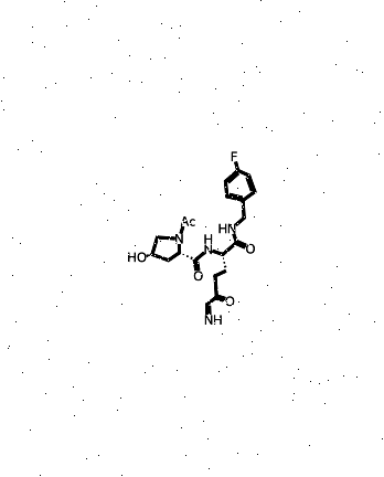 CC(=O)N1C[C@@H](O)C[C@H]1C(=O)N[C@@H](CCC(=O)C=N)C(=O)NCc1ccc(F)cc1